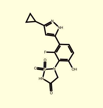 O=C1CN(c2c(O)ccc(-c3cc(C4CC4)n[nH]3)c2F)S(=O)(=O)N1